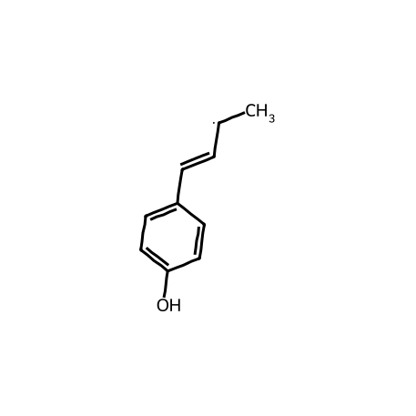 C[CH]C=Cc1ccc(O)cc1